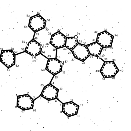 c1ccc(-c2cc(-c3ccccc3)cc(-c3cnc(-c4cccc5oc6c(ccc7c6c6ccccc6n7-c6ccccc6)c45)c(-c4nc(-c5ccccc5)nc(-c5ccccc5)n4)c3)c2)cc1